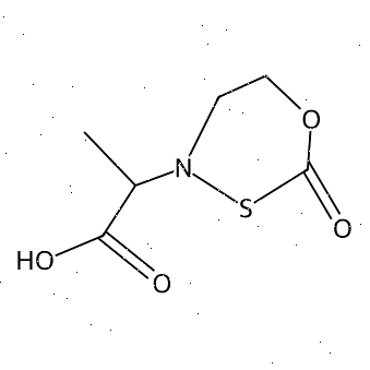 CC(C(=O)O)N1CCOC(=O)S1